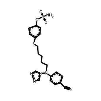 N#Cc1ccc(N(CCCCCSc2ccc(OS(N)(=O)=O)cc2)n2cnnc2)cc1